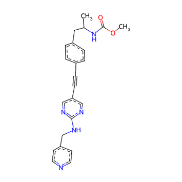 COC(=O)NC(C)Cc1ccc(C#Cc2cnc(NCc3ccncc3)nc2)cc1